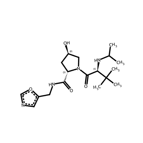 CC(C)N[C@H](C(=O)N1C[C@H](O)C[C@H]1C(=O)NCc1cnco1)C(C)(C)C